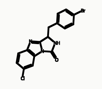 O=C1NC(Cc2ccc(Br)cc2)c2nc3ccc(Cl)cc3n21